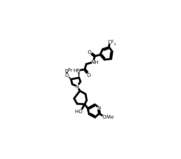 CCCO[C@@H]1CN(C2CCC(O)(c3ccc(OC)nc3)CC2)C[C@@H]1NC(=O)CNC(=O)c1cccc(C(F)(F)F)c1